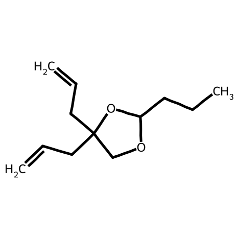 C=CCC1(CC=C)COC(CCC)O1